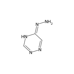 NN=c1cnnc[nH]1